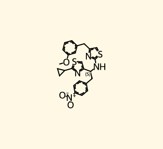 COc1cccc(Cc2csc(N[C@@H](Cc3ccc([N+](=O)[O-])cc3)c3csc(C4CC4)n3)n2)c1